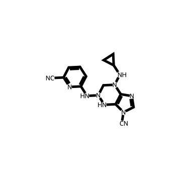 N#Cc1cccc(NN2CN(NC3CC3)c3ncn(C#N)c3N2)n1